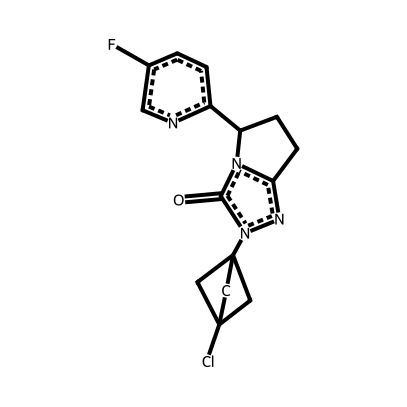 O=c1n(C23CC(Cl)(C2)C3)nc2n1C(c1ccc(F)cn1)CC2